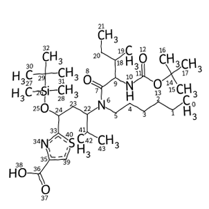 CCCCCCN(C(=O)C(NC(=O)OC(C)(C)C)C(C)CC)C(CC(O[Si](C)(C)C(C)(C)C)c1nc(C(=O)O)cs1)C(C)C